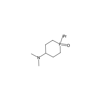 CC(C)P1(=O)CCC(N(C)C)CC1